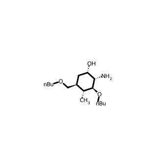 CCCCOC[C@H]1C[C@H](O)[C@H](N)[C@@H](OCCCC)[C@@H]1C